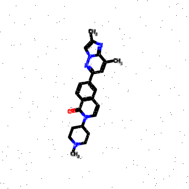 Cc1cn2nc(-c3ccc4c(=O)n(C5CCN(C)CC5)ccc4c3)cc(C)c2n1